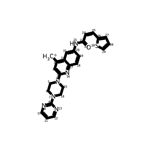 Cc1cc(N2CCN(c3ncccn3)CC2)nc2ccc(NC(=O)/C=C\c3cccs3)cc12